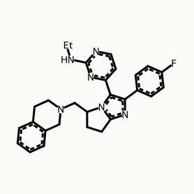 CCNc1nccc(-c2c(-c3ccc(F)cc3)nc3n2C(CN2CCc4ccccc4C2)CC3)n1